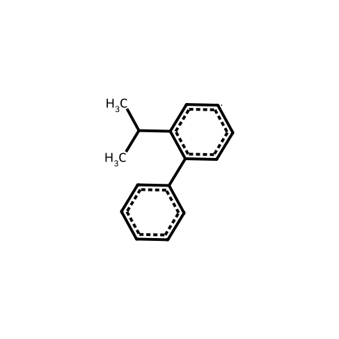 CC(C)c1c[c]ccc1-c1ccccc1